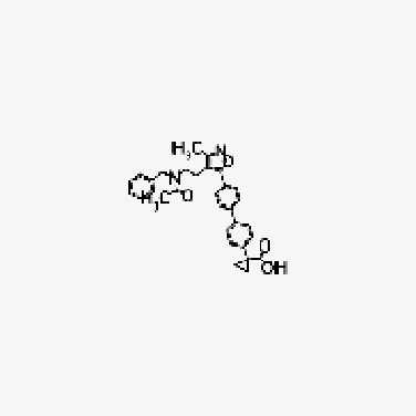 CC(=O)N(CCc1c(C)noc1-c1ccc(-c2ccc(C3(C(=O)O)CC3)cc2)cc1)Cc1ccccc1